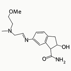 COCCN(C)CC=Nc1ccc2c(c1)C(C(N)=O)C(O)C2